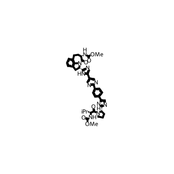 COC(=O)N[C@H]1CCc2cccc3c2N(C1=O)[C@H](c1ncc(-c2cnc(-c4ccc(-c5cnc([C@@H]6CCCN6C(=O)[C@@H](NC(=O)OC)C(C)C)[nH]5)cc4)nc2)[nH]1)C3